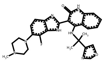 CN1CCN(c2ccc3nc(-c4c(NC(C)(C)c5cocn5)c5ccccc5[nH]c4=O)[nH]c3c2F)CC1